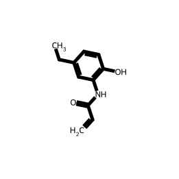 C=CC(=O)Nc1cc(CC)ccc1O